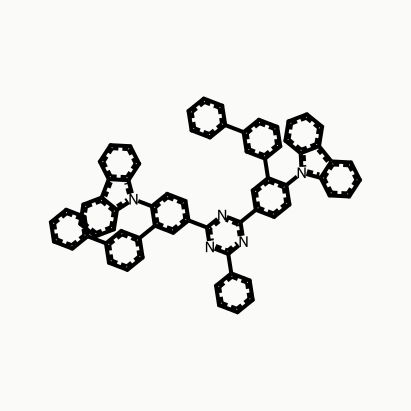 c1ccc(-c2cccc(-c3cc(-c4nc(-c5ccccc5)nc(-c5ccc(-n6c7ccccc7c7ccccc76)c(-c6cccc(-c7ccccc7)c6)c5)n4)ccc3-n3c4ccccc4c4ccccc43)c2)cc1